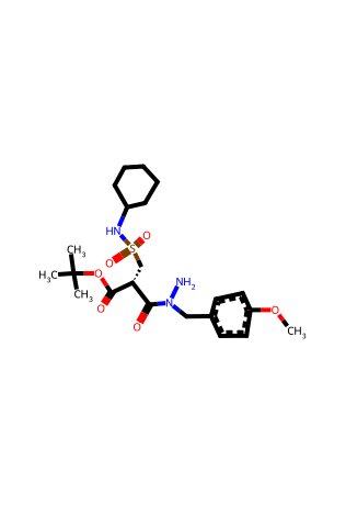 COc1ccc(CN(N)C(=O)[C@@H](CS(=O)(=O)NC2CCCCC2)C(=O)OC(C)(C)C)cc1